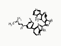 Cc1ccncc1-c1ncc2[nH]nc(-c3nc4c(-c5cc(F)cc(NCCN(C)C)c5)ccnc4[nH]3)c2c1F